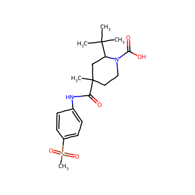 CC1(C(=O)Nc2ccc(S(C)(=O)=O)cc2)CCN(C(=O)O)C(C(C)(C)C)C1